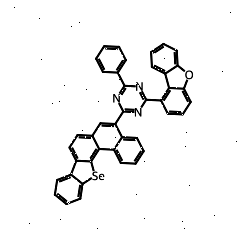 c1ccc(-c2nc(-c3cc4ccc5c6ccccc6[se]c5c4c4ccccc34)nc(-c3cccc4oc5ccccc5c34)n2)cc1